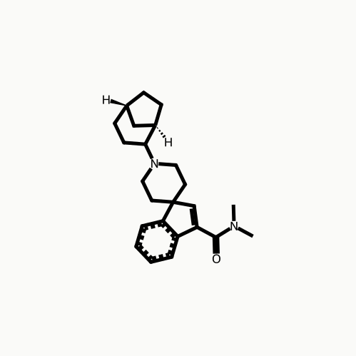 CN(C)C(=O)C1=CC2(CCN(C3CC[C@@H]4CC[C@@H]3C4)CC2)c2ccccc21